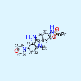 CCCS(=O)(=O)Nc1ccc(-c2c(N)c3cc(N4CCOCC4)ccc3n2CC)cc1